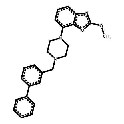 COc1nc2cccc(N3CCN(Cc4cccc(-c5ccccc5)c4)CC3)c2o1